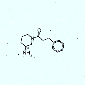 N[C@H]1CCCN(C(=O)CCc2ccccc2)C1